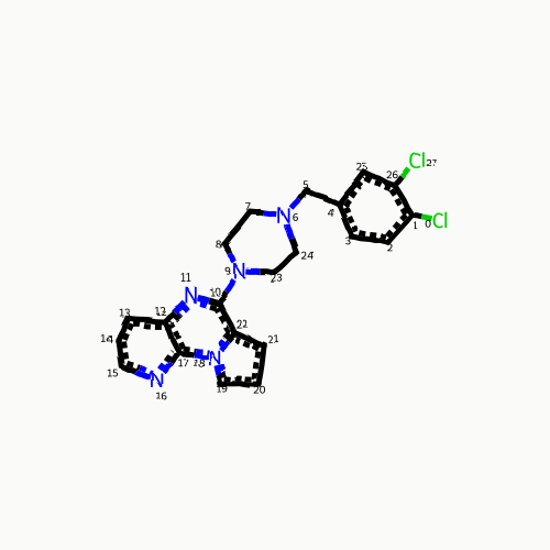 Clc1ccc(CN2CCN(c3nc4cccnc4n4cccc34)CC2)cc1Cl